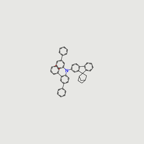 c1ccc(-c2cccc(N(c3ccc4c(c3)C3(CC5CCC3C5)c3ccccc3-4)c3ccc(-c4ccccc4)cc3-c3ccccc3)c2)cc1